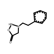 O=C1CN(CCc2ccccc2)NO1